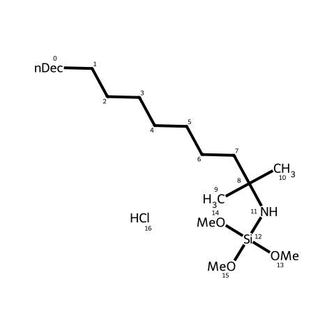 CCCCCCCCCCCCCCCCCC(C)(C)N[Si](OC)(OC)OC.Cl